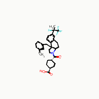 Cc1cccc(CC23CCN(C(=O)[C@H]4CC[C@H](C(=O)O)CC4)C2CCc2cc(C(C)(F)C(F)(F)F)ccc23)c1